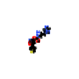 O=C(NCCCn1cncn1)Oc1cc(-c2ccsc2)on1